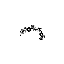 Cc1cc(-c2nc(-c3ccc(OC(F)(F)F)cc3)no2)nn1Cc1ccc(N2CCC2)nc1